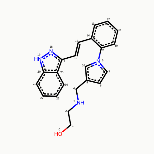 OCCNCc1ccn(-c2ccccc2C=Cc2n[nH]c3ccccc23)c1